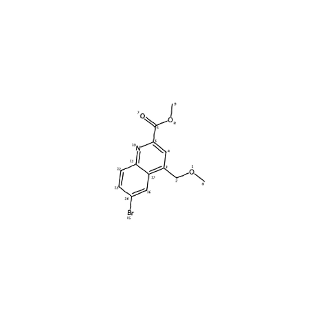 COCc1cc(C(=O)OC)nc2ccc(Br)cc12